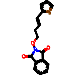 O=C1c2ccccc2C(=O)N1OCC/C=C/c1cccs1